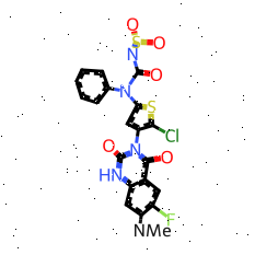 CNc1cc2[nH]c(=O)n(-c3cc(N(C(=O)N=S(=O)=O)c4ccccc4)sc3Cl)c(=O)c2cc1F